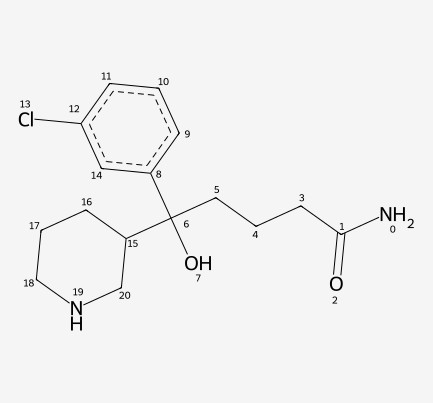 NC(=O)CCCC(O)(c1cccc(Cl)c1)C1CCCNC1